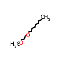 CCCCCCCCCOCCCOC